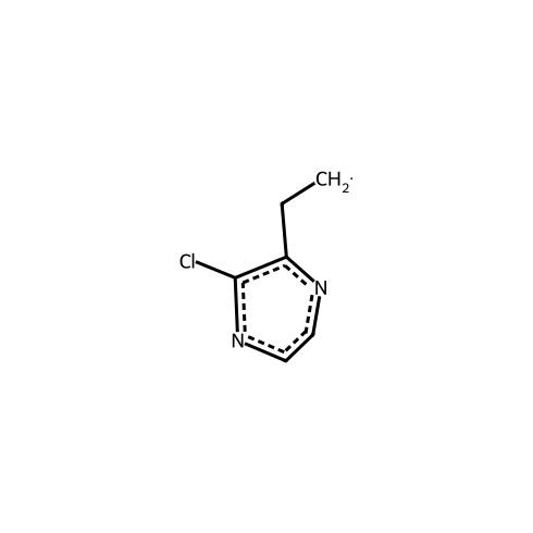 [CH2]Cc1nccnc1Cl